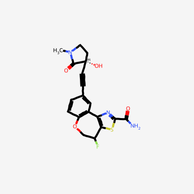 CN1CC[C@@](O)(C#Cc2ccc3c(c2)-c2nc(C(N)=O)sc2C(F)CO3)C1=O